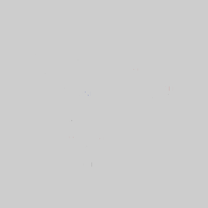 CC(=O)OC(c1ccc(O)c(O)c1)C1CCC(c2ccccc2)N1